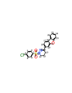 O=S(=O)(c1ccc(Cl)cc1)N1CCCC(c2ccc3c(c2)oc2ccccc23)=N1